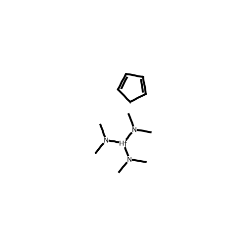 C[N](C)[Hf]([N](C)C)[N](C)C.[CH]1C=CC=C1